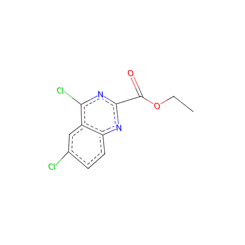 CCOC(=O)c1nc(Cl)c2cc(Cl)ccc2n1